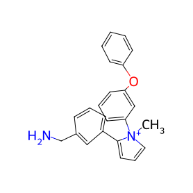 C[N+]1(c2cccc(Oc3ccccc3)c2)C=CC=C1c1cccc(CN)c1